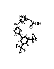 O=C(O)Cn1nnc(Sc2nc(-c3cc(C(F)(F)F)cc(C(F)(F)F)c3)cs2)n1